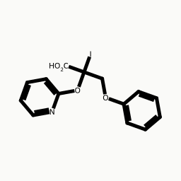 O=C(O)C(I)(COc1ccccc1)Oc1ccccn1